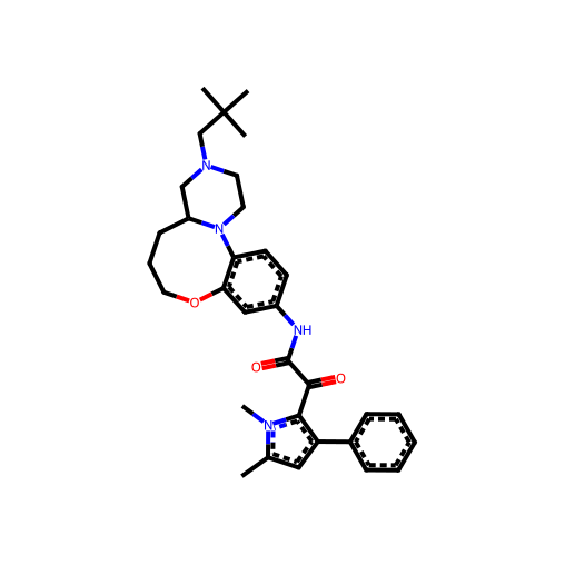 Cc1cc(-c2ccccc2)c(C(=O)C(=O)Nc2ccc3c(c2)OCCCC2CN(CC(C)(C)C)CCN32)n1C